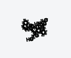 O=C(CN1C(=O)[C@@H](NC(=O)c2nccc3ccccc23)CN(C(=O)CCO)c2ccccc21)N[C@H]1CC(=O)O[C@H]1OCc1ccccc1